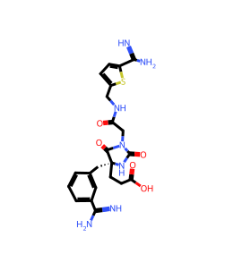 N=C(N)c1cccc(C[C@@]2(CCC(=O)O)NC(=O)N(CC(=O)NCc3ccc(C(=N)N)s3)C2=O)c1